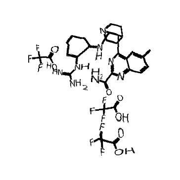 Cc1ccc2nc(C(N)=O)nc(C3C4CCN(CC4)C3NC3CCCCC3NC(=N)N)c2c1.O=C(O)C(F)(F)F.O=C(O)C(F)(F)F.O=C(O)C(F)(F)F